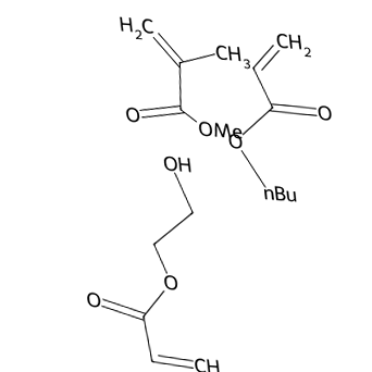 C=C(C)C(=O)OC.C=CC(=O)OCCCC.C=CC(=O)OCCO